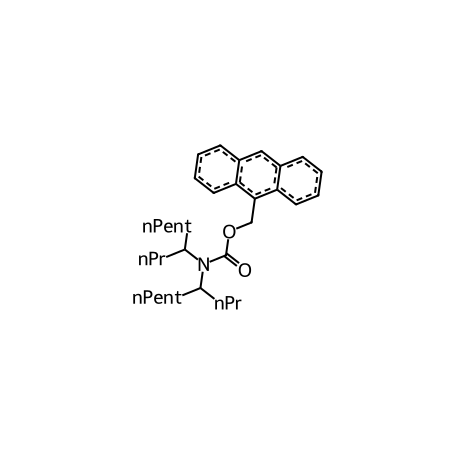 CCCCCC(CCC)N(C(=O)OCc1c2ccccc2cc2ccccc12)C(CCC)CCCCC